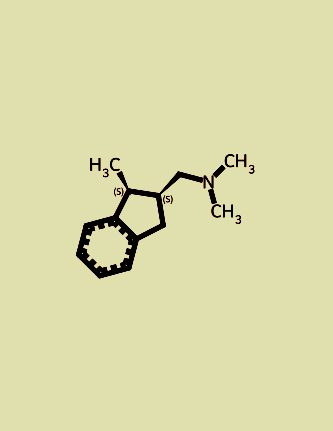 C[C@@H]1c2ccccc2C[C@@H]1CN(C)C